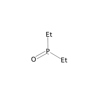 CC[P](=O)CC